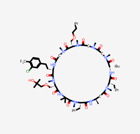 CC[C@H](C)[C@@H]1NC(=O)[C@H](CC(C)C)N(C)C(=O)C[C@@H](C)NC(=O)[C@H](CC(C)C)N(C)C(=O)C(C)(C)NC(=O)[C@H](COCC(C)(C)O)N(C)C(=O)[C@H](CCc2ccc(C(F)(F)F)c(Cl)c2)NC(=O)CN(C)C(=O)[C@H](COCCC(C)C)N(C)C(=O)CN(C)C(=O)CN(C)C1=O